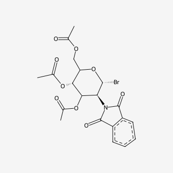 CC(=O)OCC1O[C@H](Br)[C@@H](N2C(=O)c3ccccc3C2=O)C(OC(C)=O)[C@@H]1OC(C)=O